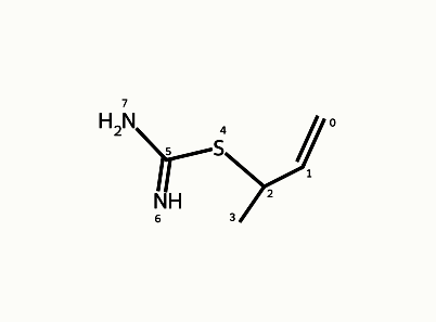 C=CC(C)SC(=N)N